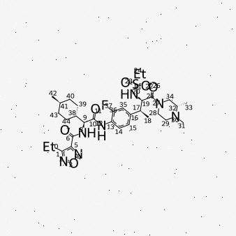 CCc1nonc1C(=O)N[C@H](C(=O)Nc1ccc([C@H](C)[C@@H](NS(=O)(=O)CC)C(=O)N2CCN(C)[C@@H](C)C2)cc1F)[C@H]1CC[C@H](C)CC1